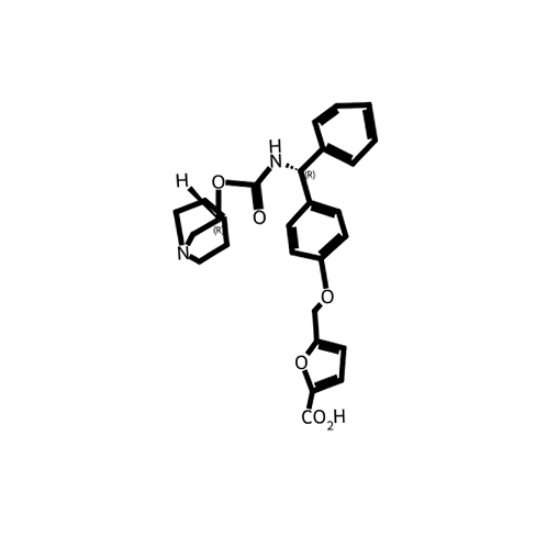 O=C(N[C@H](c1ccccc1)c1ccc(OCc2ccc(C(=O)O)o2)cc1)O[C@H]1CN2CCC1CC2